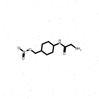 NCC(=O)NC1CCC(CO[N+](=O)[O-])CC1